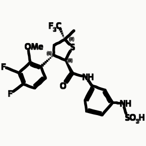 COc1c([C@@H]2C[C@](C)(C(F)(F)F)S[C@H]2C(=O)Nc2cccc(NS(=O)(=O)O)c2)ccc(F)c1F